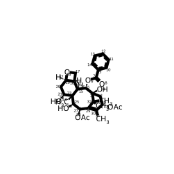 CC(=O)O[C@H]1C[C@@]2(O)[C@@H](OC(=O)c3ccccc3)[C@@H]3[C@@H]4CO[C@@H]4C[C@H](O)[C@@]3(C)[C@H](O)[C@H](OC(C)=O)C(=C1C)C2(C)C